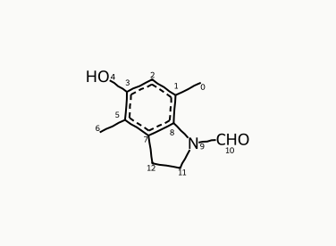 Cc1cc(O)c(C)c2c1N(C=O)CC2